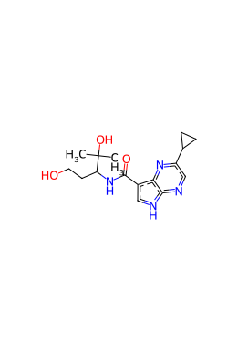 CC(C)(O)C(CCO)NC(=O)c1c[nH]c2ncc(C3CC3)nc12